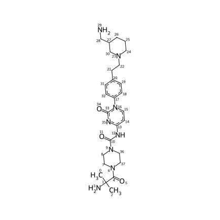 CC(C)(N)C(=O)N1CCN(C(=O)Nc2ccn(-c3ccc(CCN4CCCC(CN)C4)cc3)c(=O)n2)CC1